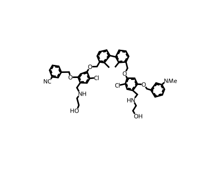 CNc1cccc(COc2cc(OCc3cccc(-c4cccc(COc5cc(OCc6cccc(C#N)c6)c(CNCCO)cc5Cl)c4C)c3C)c(Cl)cc2CNCCO)c1